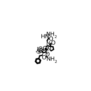 CC1N(CC(=O)NN)C(=O)C12CCCN2C(=O)[C@@H](OC(N)=O)[C@@H](CCc1ccccc1)O[Si](C)(C)C(C)(C)C